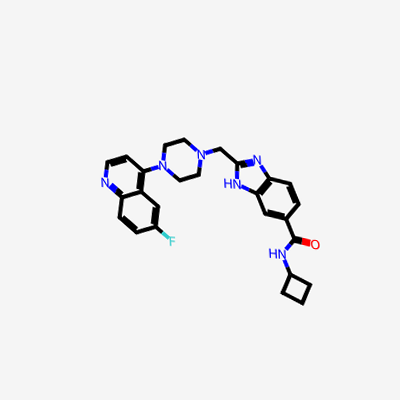 O=C(NC1CCC1)c1ccc2nc(CN3CCN(c4ccnc5ccc(F)cc45)CC3)[nH]c2c1